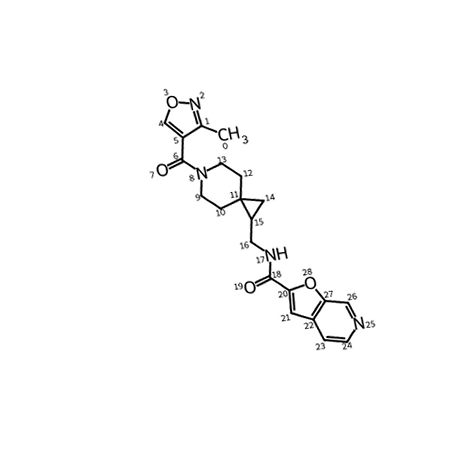 Cc1nocc1C(=O)N1CCC2(CC1)CC2CNC(=O)c1cc2ccncc2o1